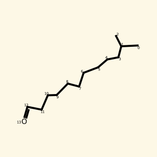 CC(C)CCCCCCCCCC=O